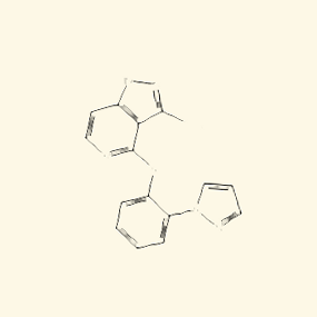 Cc1n[nH]c2ccnc(Nc3ccccc3-n3cccn3)c12